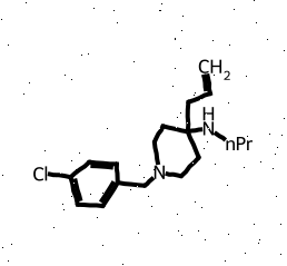 C=CCC1(NCCC)CCN(Cc2ccc(Cl)cc2)CC1